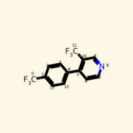 FC(F)(F)c1ccc(-c2ccncc2C(F)(F)F)cc1